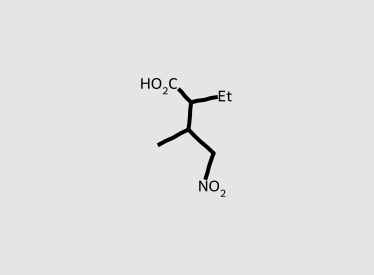 CCC(C(=O)O)C(C)C[N+](=O)[O-]